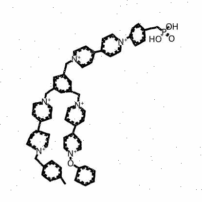 Cc1ccc(C[n+]2ccc(-c3cc[n+](Cc4cc(C[n+]5ccc(-c6cc[n+](Oc7ccccc7)cc6)cc5)cc(C[n+]5ccc(-c6cc[n+](-c7ccc(CP(=O)(O)O)cc7)cc6)cc5)c4)cc3)cc2)cc1